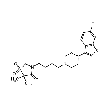 CC1(C)C(=O)N(CCCCN2CCN(c3csc4cc(F)ccc34)CC2)CS1(=O)=O